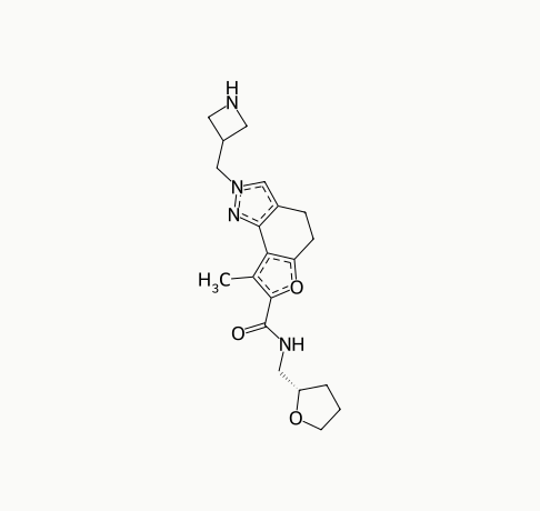 Cc1c(C(=O)NC[C@@H]2CCCO2)oc2c1-c1nn(CC3CNC3)cc1CC2